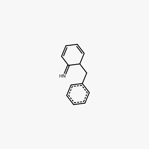 N=C1C=CC=CC1Cc1ccccc1